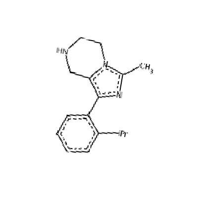 Cc1nc(-c2ccccc2C(C)C)c2n1CCNC2